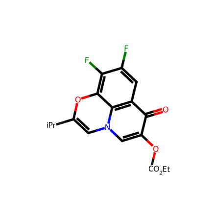 CCOC(=O)Oc1cn2c3c(c(F)c(F)cc3c1=O)OC(C(C)C)=C2